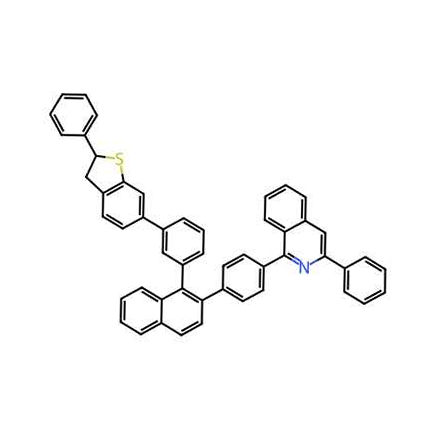 c1ccc(-c2cc3ccccc3c(-c3ccc(-c4ccc5ccccc5c4-c4cccc(-c5ccc6c(c5)SC(c5ccccc5)C6)c4)cc3)n2)cc1